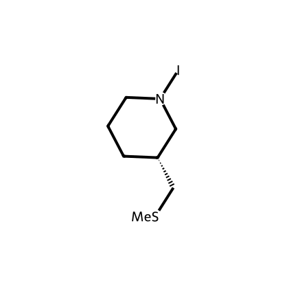 CSC[C@@H]1CCCN(I)C1